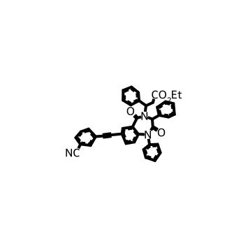 CCOC(=O)CC(c1ccccc1)N1C(=O)c2cc(C#Cc3cccc(C#N)c3)ccc2N(c2ccccc2)C(=O)C1c1ccccc1